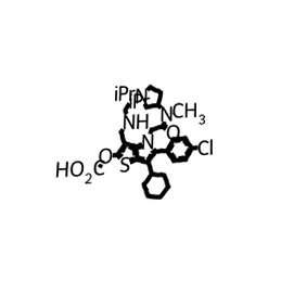 CC(C)CNCc1c(OC(=O)O)sc2c(C3CCCCC3)c(-c3ccc(Cl)cc3)n(CC(=O)N(C)C3CCN(C(C)C)C3)c12